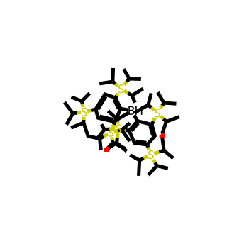 CC(C)S(c1cc(S(C(C)C)(C(C)C)C(C)C)c(Bc2c(S(C(C)C)(C(C)C)C(C)C)cc3cc2S(C(C)C)(C(C)C)C(C)CC(C)S3(C(C)C)C(C)C)c(S(C(C)C)(C(C)C)C(C)C)c1)(C(C)C)C(C)C